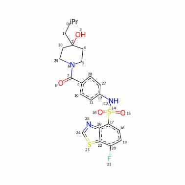 CC(C)CC1(O)CCN(C(=O)c2ccc(NS(=O)(=O)c3ccc(F)c4scnc34)cc2)CC1